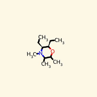 CC[C@H]1OC(C)C(C)N(C)[C@H]1CC